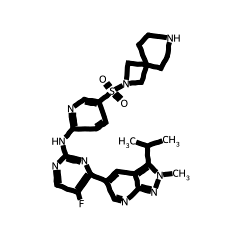 CC(C)c1c2cc(-c3nc(Nc4ccc(S(=O)(=O)N5CC6(CCNCC6)C5)cn4)ncc3F)cnc2nn1C